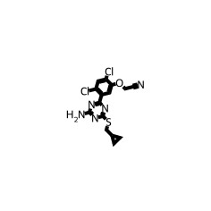 N#CCOc1cc(-c2nc(N)nc(SCC3CC3)n2)c(Cl)cc1Cl